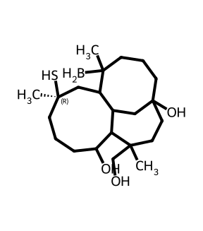 BC1(C)CCCC2(O)CCC(C)(CO)C3C(O)CCC[C@@](C)(S)CC1C3C2